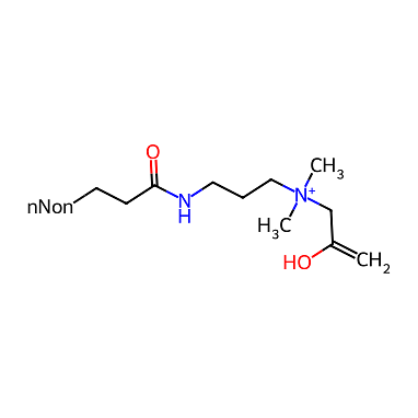 C=C(O)C[N+](C)(C)CCCNC(=O)CCCCCCCCCCC